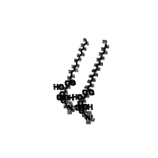 CCCCCCCCCCCCCCCC(=O)OC[C@@H](O)COP(=O)(O)OCC[N+](C)(C)C.CCCCCCCCCCCCCCCCCC(=O)OC[C@@H](O)COP(=O)(O)OCC[N+](C)(C)C